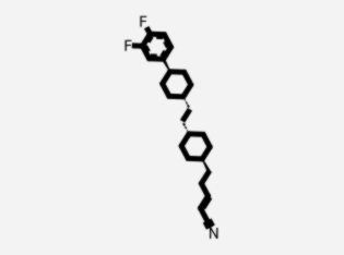 N#CC=CCC[C@H]1CC[C@H](CC[C@H]2CC[C@H](c3ccc(F)c(F)c3)CC2)CC1